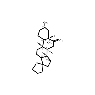 C=C1C[C@@H]2[C@H](CC[C@@]3(C)[C@H]2CCC32OCCO2)[C@@]2(C)CC[C@H](OC(C)=O)C[C@H]12